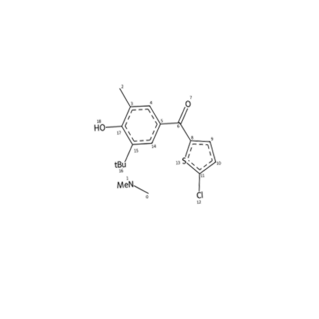 CNC.Cc1cc(C(=O)c2ccc(Cl)s2)cc(C(C)(C)C)c1O